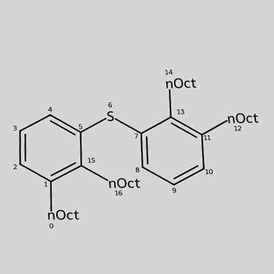 CCCCCCCCc1cccc(Sc2cccc(CCCCCCCC)c2CCCCCCCC)c1CCCCCCCC